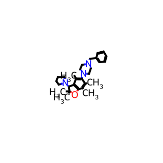 Cc1c(C)c(N2CCN(Cc3ccccc3)CC2)c(C)c2c1OC(C)(C)C2N1CCCC1